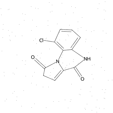 O=C1Nc2cccc(Cl)c2N2C(=O)CC=C12